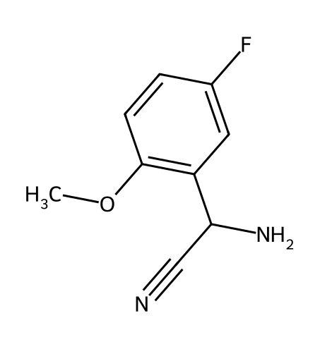 COc1ccc(F)cc1C(N)C#N